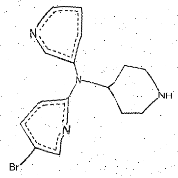 Brc1ccc(N(c2cccnc2)C2CCNCC2)nc1